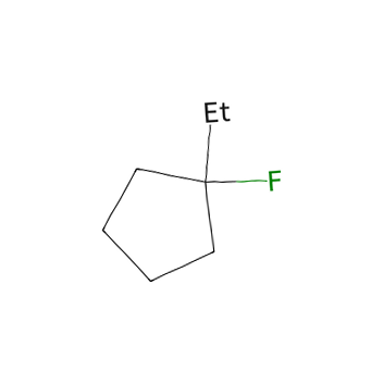 [CH2]CC1(F)CCCC1